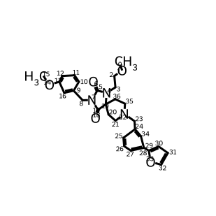 COCCN1C(=O)N(Cc2cccc(OC)c2)C(=O)C12CCN(Cc1cccc(-c3ccco3)c1)CC2